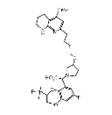 COc1cc(CCCCOC2CCN(C(C(=O)O)c3cc(F)cc4c3OC(C(C)(C)F)CO4)C2)nc2c1CCCN2